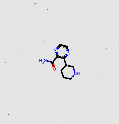 NC(=O)c1nccnc1C1CCCNC1